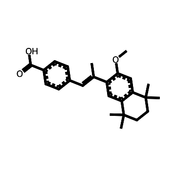 COc1cc2c(cc1C(C)=Cc1ccc(C(=O)O)cc1)C(C)(C)CCC2(C)C